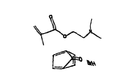 Br.C=C(C)C(=O)OCCN(C)C.O=C1C2=CC=C1C=C2